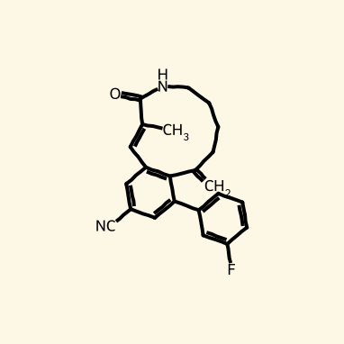 C=C1CCCCNC(=O)/C(C)=C/c2cc(C#N)cc(-c3cccc(F)c3)c21